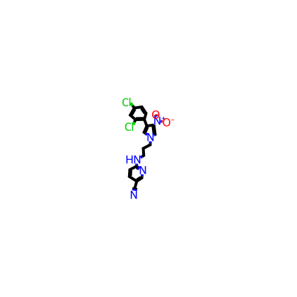 N#Cc1ccc(NCCCn2cc(-c3ccc(Cl)cc3Cl)c([N+](=O)[O-])c2)nc1